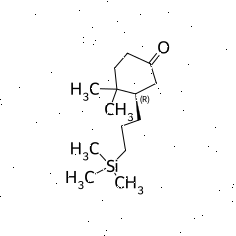 CC1(C)CCC(=O)C[C@H]1CCC[Si](C)(C)C